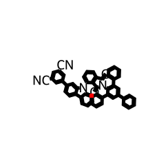 N#Cc1cc(C#N)cc(-c2ccc3c4ccccc4n(-c4cccc5c4C(=O)N(c4c(-c6ccccc6)cc(-c6ccccc6)cc4-c4ccccc4)C5=O)c3c2)c1